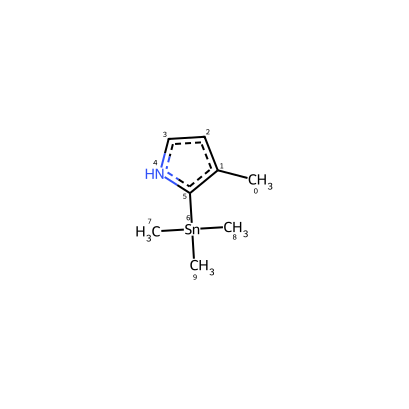 Cc1cc[nH][c]1[Sn]([CH3])([CH3])[CH3]